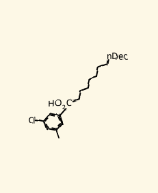 CCCCCCCCCCCCCCCCCC(=O)O.Cc1cc(C)cc(Cl)c1